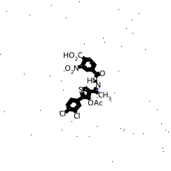 CC(=O)Oc1c(/C(C)=N\NC(=O)c2ccc(C(=O)O)c([N+](=O)[O-])c2)csc1-c1ccc(Cl)c(Cl)c1